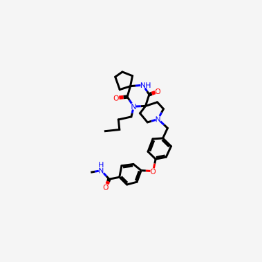 CCCCN1C(=O)C2(CCCC2)NC(=O)C12CCN(Cc1ccc(Oc3ccc(C(=O)NC)cc3)cc1)CC2